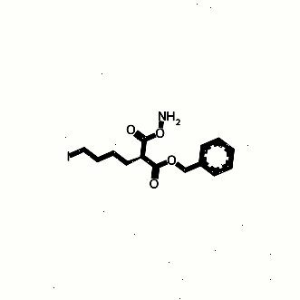 NOC(=O)[C@H](CCCCI)C(=O)OCc1ccccc1